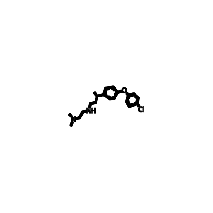 CC(CCNCCN(C)C)c1ccc(Oc2ccc(Cl)cc2)cc1